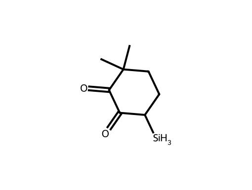 CC1(C)CCC([SiH3])C(=O)C1=O